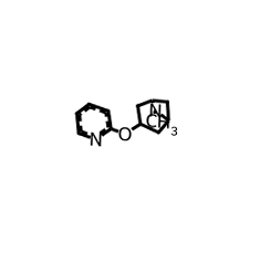 CN1C2CC(Oc3ccccn3)CC1C2